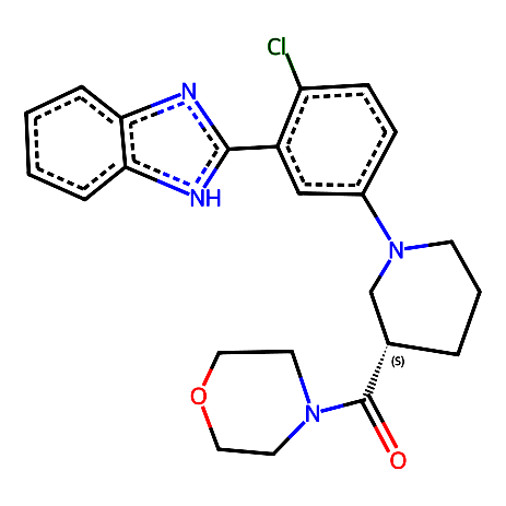 O=C([C@H]1CCCN(c2ccc(Cl)c(-c3nc4ccccc4[nH]3)c2)C1)N1CCOCC1